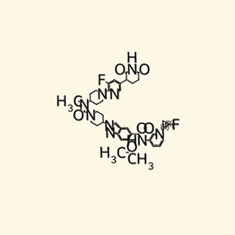 CC(C)Oc1cc2nn(C3CCN(C(=O)N(C)C4CCN(c5ncc(C6CCC(=O)NC6=O)cc5F)CC4)CC3)cc2cc1C(=O)Nc1cccn([C@H]2C[C@H]2F)c1=O